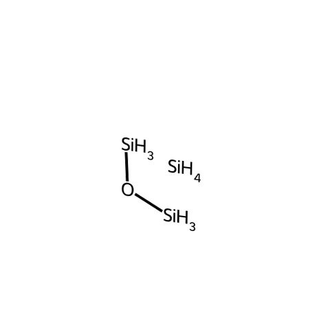 [SiH3]O[SiH3].[SiH4]